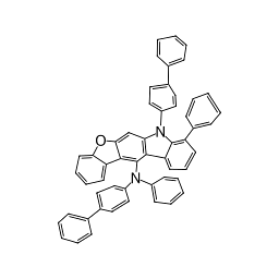 c1ccc(-c2ccc(N(c3ccccc3)c3c4c(cc5c3c3cccc(-c6ccccc6)c3n5-c3ccc(-c5ccccc5)cc3)oc3ccccc34)cc2)cc1